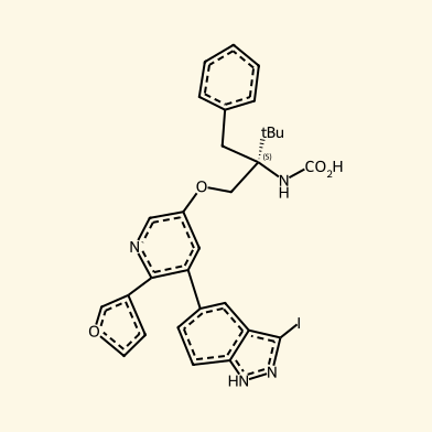 CC(C)(C)[C@](COc1cnc(-c2ccoc2)c(-c2ccc3[nH]nc(I)c3c2)c1)(Cc1ccccc1)NC(=O)O